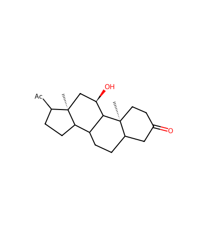 CC(=O)C1CCC2C3CCC4CC(=O)CC[C@]4(C)C3[C@H](O)C[C@]12C